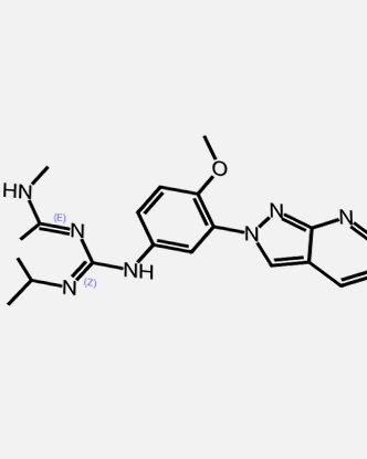 CN/C(C)=N/C(=N\C(C)C)Nc1ccc(OC)c(-n2cc3cccnc3n2)c1